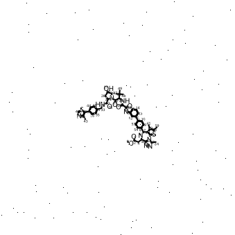 COC(=O)CC1N=C(c2ccc(-c3ccc4oc(C(=O)NC(C(=O)N5C[C@H](O)CC5C(=O)NCc5ccc(-c6scnc6C)cc5)C(C)(C)C)nc4c3)cc2)c2c(sc(C)c2C)-n2c(C)nnc21